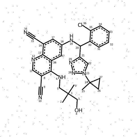 CC(C)(CO)CNc1c(C#N)cnc2c(C#N)cc(NC(c3cn(C4(C)CC4)nn3)c3ccccc3Cl)cc12